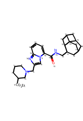 CCOC(=O)C1CCCN(Cc2cn3c(C(=O)NCC45CC6CC7CC(C4)C7(C6)C5)cccc3n2)C1